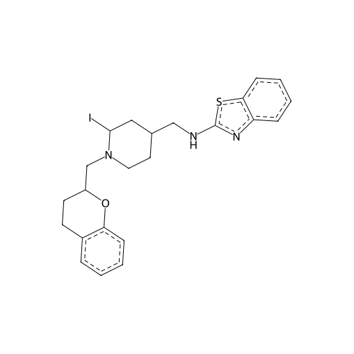 IC1CC(CNc2nc3ccccc3s2)CCN1CC1CCc2ccccc2O1